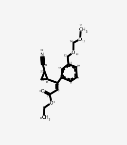 CCOC(=O)C=C(c1cccc(COCOC)c1)C1CC1C#N